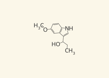 CCC(O)c1c[nH]c2ccc(OC)cc12